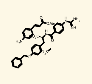 COC(=O)/C=C/c1ccc(N)cc1.CS(=O)(=O)O.N=C(N)Nc1ccc(C(=O)N[C@@H](Cc2ccc(OCc3ccccc3)cc2)C(=O)O)cc1